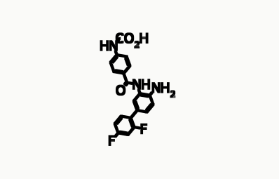 Nc1ccc(-c2ccc(F)cc2F)cc1NC(=O)c1ccc(NC(=O)O)cc1